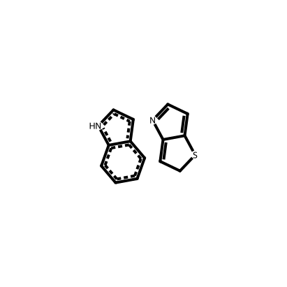 C1=NC2=CCSC2=C1.c1ccc2[nH]ccc2c1